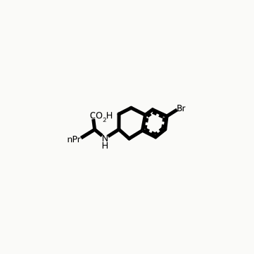 CCCC(NC1CCc2cc(Br)ccc2C1)C(=O)O